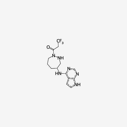 O=C(CC(F)(F)F)N1CCCC(Nc2ncnc3[nH]ccc23)CN1